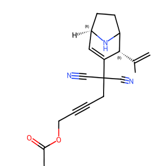 C=C(C)[C@@H]1C(C(C#N)(C#N)CC#CCOC(C)=O)=C[C@H]2CCC1N2